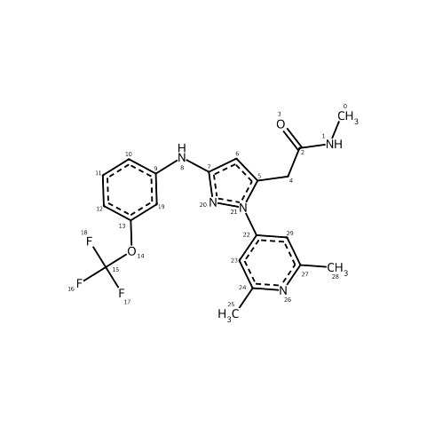 CNC(=O)Cc1cc(Nc2cccc(OC(F)(F)F)c2)nn1-c1cc(C)nc(C)c1